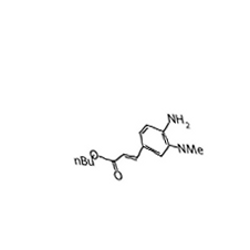 CCCCOC(=O)/C=C/c1ccc(N)c(NC)c1